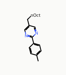 CCCCCCCCCc1cnc(-c2ccc(C)cc2)nc1